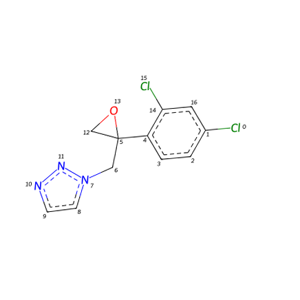 Clc1ccc(C2(Cn3ccnn3)CO2)c(Cl)c1